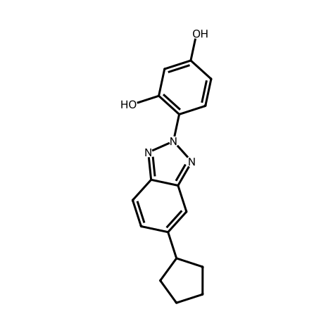 Oc1ccc(-n2nc3ccc(C4CCCC4)cc3n2)c(O)c1